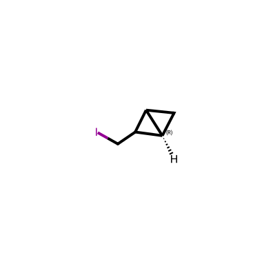 ICC1C2C[C@@H]12